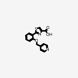 O=C(O)c1csc(-c2ccccc2OCc2ccncc2)n1